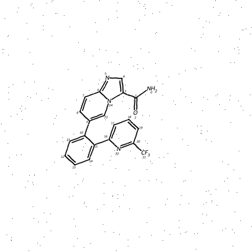 NC(=O)c1cnc2ccc(-c3ccccc3-c3cccc(C(F)(F)F)n3)cn12